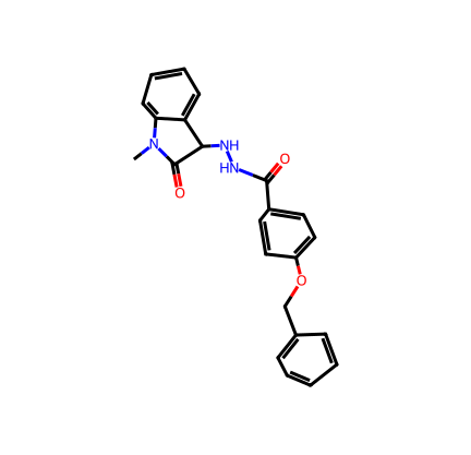 CN1C(=O)C(NNC(=O)c2ccc(OCc3ccccc3)cc2)c2ccccc21